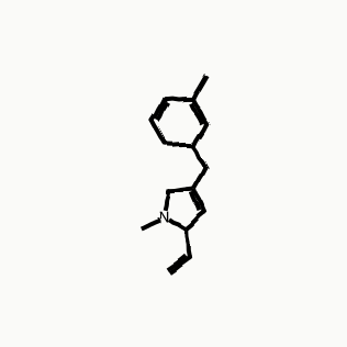 C=CC1C=C(CC2C=C(C)C=CC2)CN1C